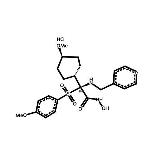 COc1ccc(S(=O)(=O)[C@@](NCc2ccncc2)(C(=O)NO)[C@H]2CC[C@H](OC)CC2)cc1.Cl